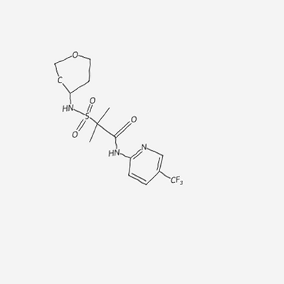 CC(C)(C(=O)Nc1ccc(C(F)(F)F)cn1)S(=O)(=O)NC1CCOCC1